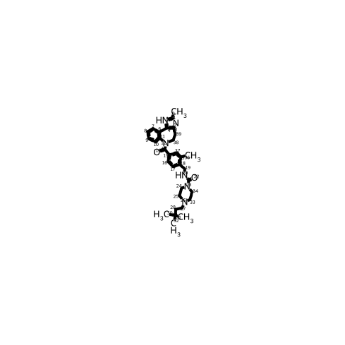 Cc1nc2c([nH]1)-c1ccccc1N(C(=O)c1ccc(CNC(=O)N3CCN(CCC(C)(C)C)CC3)c(C)c1)CC2